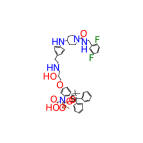 CC(C)(C)[Si](Oc1ccc(OC[C@H](O)CNCCc2ccc(NC3CCN(C(=O)NCc4cc(F)ccc4F)CC3)cc2)cc1N(C(=O)O)S(C)(=O)=O)(c1ccccc1)c1ccccc1